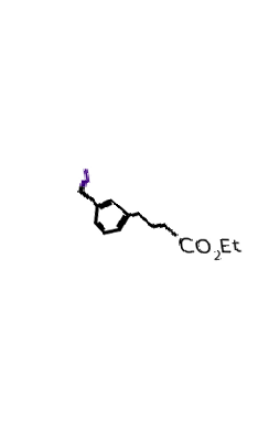 CCOC(=O)CCCc1cccc(CI)c1